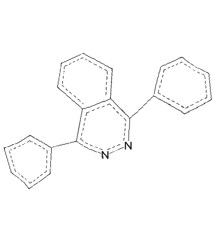 c1ccc(-c2nnc(-c3ccccc3)c3ccccc23)cc1